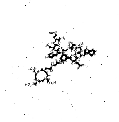 CSCC[C@H](NC(=O)[C@H](CC(C)C)NC(=O)[C@H](Cc1c[nH]cn1)NC(=O)CNC(=O)[C@@H](NC(=O)[C@H](C)NC(=O)[C@H](Cc1c[nH]c2ccccc12)NC(=O)[C@H](CCC(N)=O)NC(=O)c1cccc(NC(=O)CNC(=O)CN2CCN(CC(=O)O)CCN(CC(=O)O)CCN(CC(=O)O)CC2)c1)C(C)C)C(N)=O